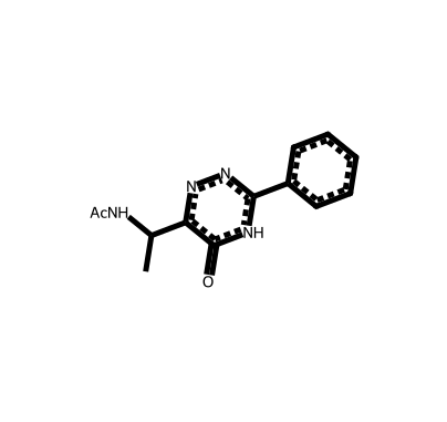 CC(=O)NC(C)c1nnc(-c2ccccc2)[nH]c1=O